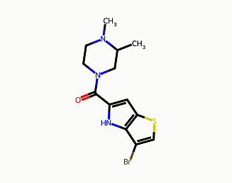 CC1CN(C(=O)c2cc3scc(Br)c3[nH]2)CCN1C